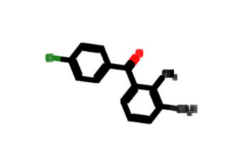 Cc1c(C(=O)O)cccc1C(=O)c1ccc(Cl)cc1